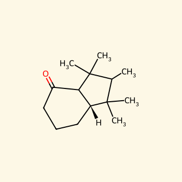 CC1C(C)(C)C2C(=O)CCC[C@H]2C1(C)C